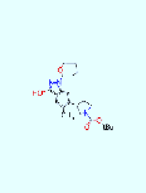 Cc1cc2c(O)nn(C3CCCCO3)c2cc1C1CCN(C(=O)OC(C)(C)C)C1